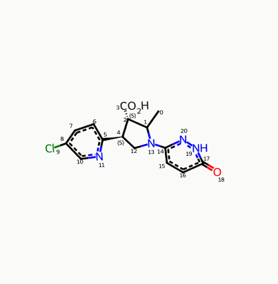 CC1[C@@H](C(=O)O)[C@H](c2ccc(Cl)cn2)CN1c1ccc(=O)[nH]n1